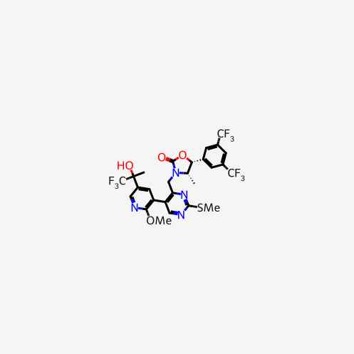 COc1ncc(C(C)(O)C(F)(F)F)cc1-c1cnc(SC)nc1CN1C(=O)O[C@H](c2cc(C(F)(F)F)cc(C(F)(F)F)c2)[C@@H]1C